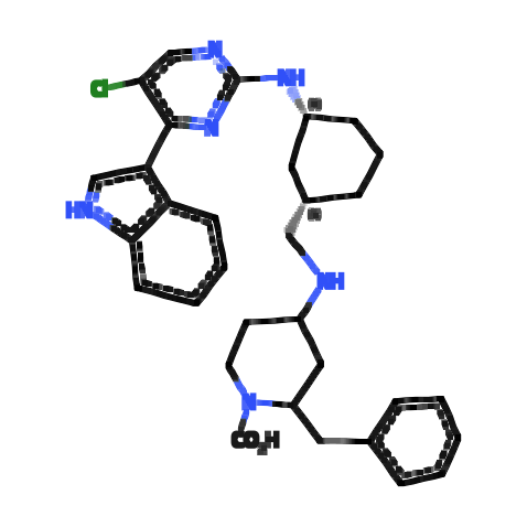 O=C(O)N1CCC(NC[C@H]2CCC[C@@H](Nc3ncc(Cl)c(-c4c[nH]c5ccccc45)n3)C2)CC1Cc1ccccc1